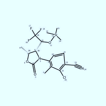 Cc1c(N2C(=O)O[C@H](C)[C@@H]2C(O[Si](C)(C)C)C(F)(F)F)ccc(C#N)c1Cl